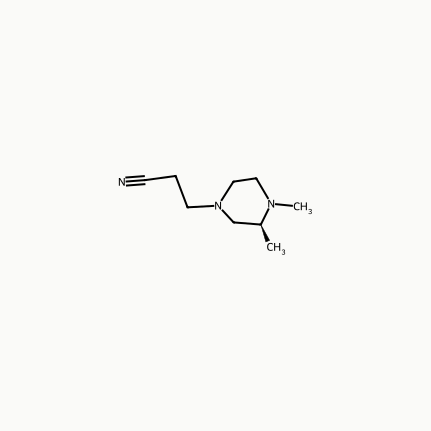 C[C@H]1CN(CCC#N)CCN1C